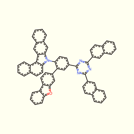 c1ccc2cc(-c3nc(-c4ccc(-n5c6cc7ccccc7cc6c6c7ccccc7ccc65)c(-c5ccc6c(c5)oc5ccccc56)c4)nc(-c4ccc5ccccc5c4)n3)ccc2c1